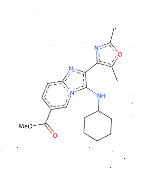 COC(=O)c1ccc2nc(-c3nc(C)oc3C)c(NC3CCCCC3)n2c1